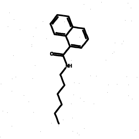 CCCCCCNC(=O)c1cccc2ccccc12